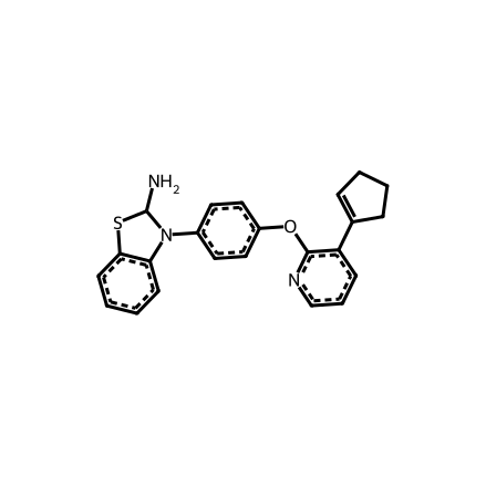 NC1Sc2ccccc2N1c1ccc(Oc2ncccc2C2=CCCC2)cc1